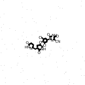 N#Cc1nn(-c2cc(Cl)c(Oc3cc(Cc4ccc(=O)[nH]n4)c(=O)[nH]n3)c(Cl)c2)c(=O)[nH]c1=O